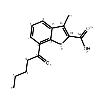 CCCCC(=O)c1cccc2c(C)c(C(=O)O)sc12